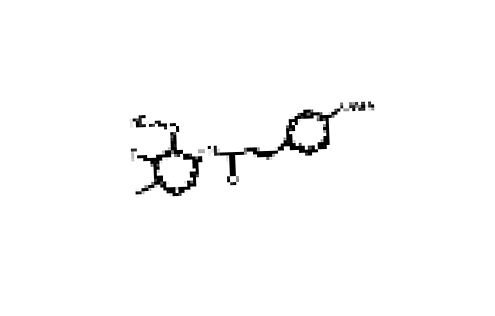 CCCCOc1c(NC(=O)/C=C/c2ccc(OC)cc2)ccc(F)c1F